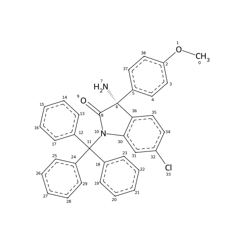 COc1ccc([C@]2(N)C(=O)N(C(c3ccccc3)(c3ccccc3)c3ccccc3)c3cc(Cl)ccc32)cc1